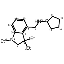 CCN1CC(CC)(CC)c2c(CNC3CCCC3)cccc21